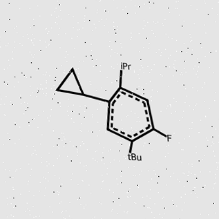 CC(C)c1cc(F)c(C(C)(C)C)cc1C1CC1